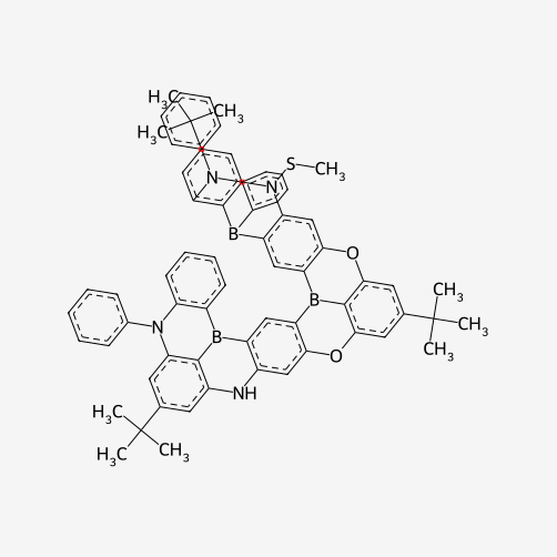 CSN1c2cc3c(cc2B2c4ccccc4N(c4ccccc4)c4cc(C(C)(C)C)cc1c42)B1c2cc4c(cc2Oc2cc(C(C)(C)C)cc(c21)O3)Nc1cc(C(C)(C)C)cc2c1B4c1ccccc1N2c1ccccc1